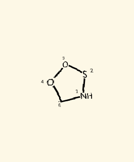 [CH]1NSOO1